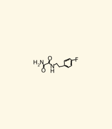 NC(=O)C(=O)NCCc1ccc(F)cc1